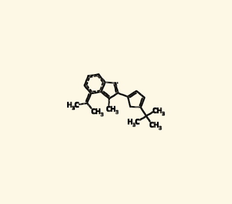 CC(C)=c1cccc2c1=C(C)C(C1=CC=C(C(C)(C)C)C1)=[C]2